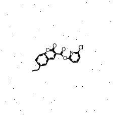 CCc1ccc2oc(=O)c(C(=O)Oc3cccc(Cl)n3)cc2c1